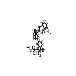 CC(C)c1n[nH]c2ccc(-c3nnc(N[C@@H](CN)Cc4ccccc4)s3)cc12